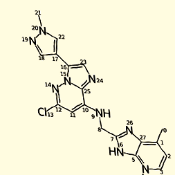 Cc1ccnc2[nH]c(CNc3cc(Cl)nn4c(-c5cnn(C)c5)cnc34)nc12